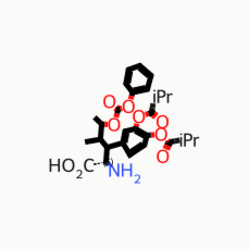 CC(C)C(=O)Oc1ccc(C(C(C)C(C)OC(=O)Oc2ccccc2)[C@H](N)C(=O)O)cc1OC(=O)C(C)C